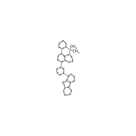 CC1(C)c2ccccc2-c2ccc(-c3cccc(-c4cccc5c4sc4ccccc45)c3)c3cccc1c23